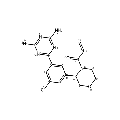 [2H]c1nc(N)nc(-c2cc(Cl)cc([C@@H]3COCCN3C(=O)C=C)c2)n1